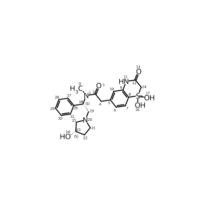 CN(C(=O)Cc1ccc2c(c1)NC(=O)CS2(O)O)[C@H](CN1CC[C@H](O)C1)c1ccccc1